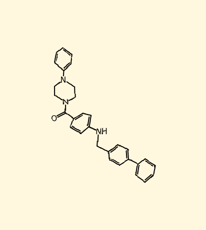 O=C(c1ccc(NCc2ccc(-c3ccccc3)cc2)cc1)N1CCN(c2ccccc2)CC1